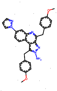 COc1ccc(Cc2nc3cc(-n4cccn4)ccc3c3c(Cc4ccc(OC)cc4)n(N)nc23)cc1